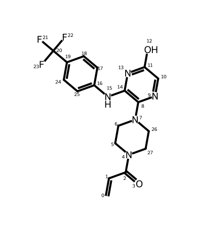 C=CC(=O)N1CCN(c2ncc(O)nc2Nc2ccc(C(F)(F)F)cc2)CC1